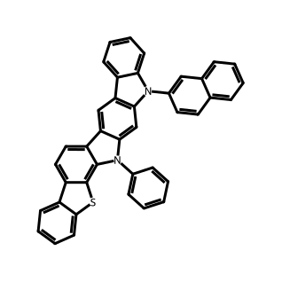 c1ccc(-n2c3cc4c(cc3c3ccc5c6ccccc6sc5c32)c2ccccc2n4-c2ccc3ccccc3c2)cc1